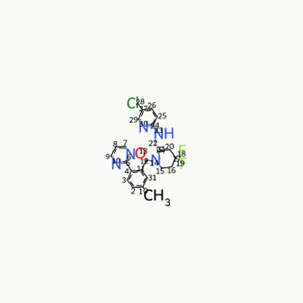 Cc1ccc(-c2ncccn2)c(C(=O)N2CCC(F)(F)C[C@H]2CNc2ccc(Cl)cn2)c1